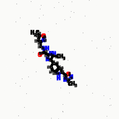 Cc1noc(-c2cc3cc(C4N=C(C(=O)NCc5cc(C)on5)NC4C)ccc3[nH]2)n1